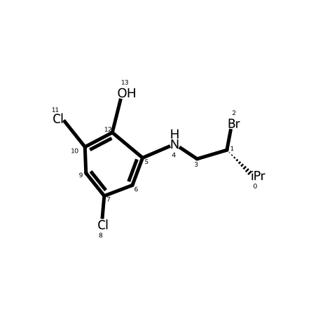 CC(C)[C@@H](Br)CNc1cc(Cl)cc(Cl)c1O